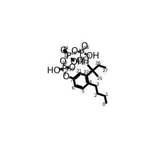 CCCCc1ccc(OP(=O)(O)OP(=O)(O)OP(=O)(O)O)cc1C(C)(C)CC